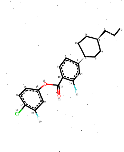 CCC[C@H]1CC[C@H](c2ccc(C(=O)Oc3ccc(Cl)c(F)c3)c(F)c2)CC1